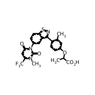 Cc1cc(OC(C)C(=O)O)ccc1-c1nsc2ccc(-n3c(=O)cc(C(F)(F)F)n(C)c3=O)cc12